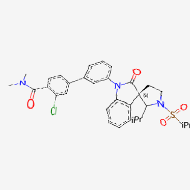 CC(C)C1N(S(=O)(=O)C(C)C)CC[C@@]12C(=O)N(c1cccc(-c3ccc(C(=O)N(C)C)c(Cl)c3)c1)c1ccccc12